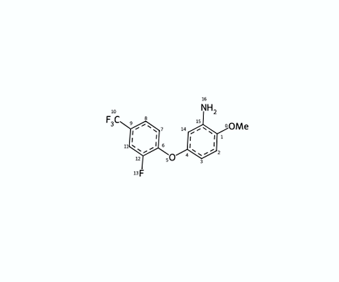 COc1ccc(Oc2ccc(C(F)(F)F)cc2F)cc1N